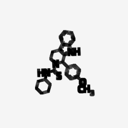 COc1ccc(C2c3[nH]c4ccccc4c3CCN2C(=S)NC2CCCCC2)cc1